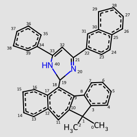 CC1(C)c2ccccc2-c2c1cc1ccccc1c2C1N=C(c2ccc3ccccc3c2)C=C(c2ccccc2)N1